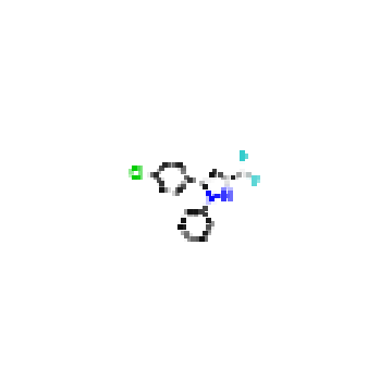 FC(F)c1cc(-c2ccc(Cl)cc2)n(-c2ccccc2)n1